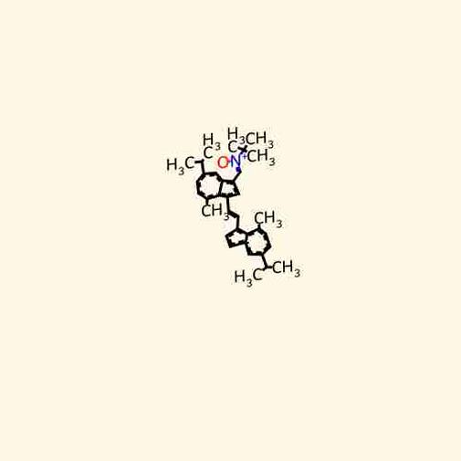 Cc1ccc(C(C)C)cc2ccc(/C=C/c3cc(/C=[N+](\[O-])C(C)(C)C)c4cc(C(C)C)ccc(C)c3-4)c1-2